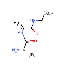 CC[C@H](C)[C@H](N)C(=O)N[C@@H](C)C(=O)NCC(=O)O